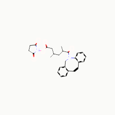 CC(CC(=O)ON1C(=O)CCC1=O)CC(C)C(=O)N1Cc2ccccc2C#Cc2ccccc21